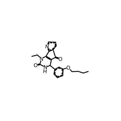 CCCCOc1cccc(C2NC(=O)N(CC)C3=C2C(=O)c2cccnc23)c1